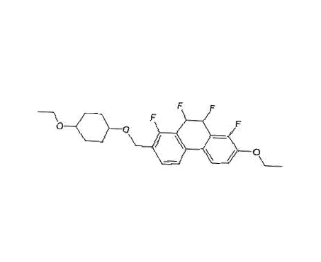 CCOc1ccc2c(c1F)C(F)C(F)c1c-2ccc(COC2CCC(OCC)CC2)c1F